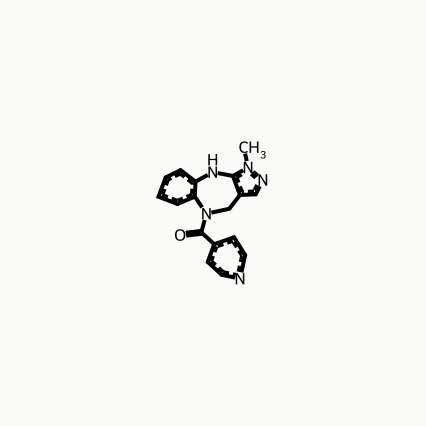 Cn1ncc2c1Nc1ccccc1N(C(=O)c1ccncc1)C2